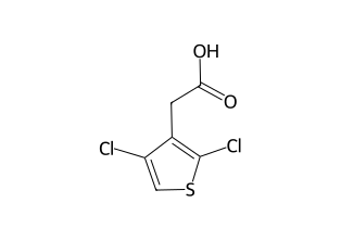 O=C(O)Cc1c(Cl)csc1Cl